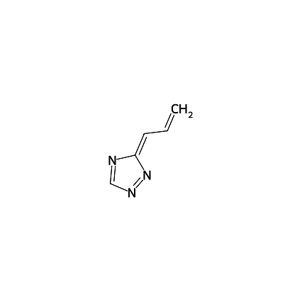 C=CC=C1N=CN=N1